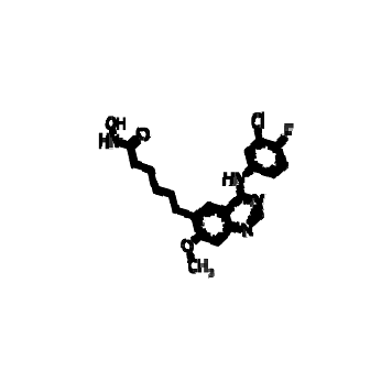 COc1cc2ncnc(Nc3ccc(F)c(Cl)c3)c2cc1CCCCCC(=O)NO